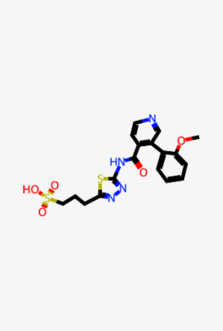 COc1ccccc1-c1cnccc1C(=O)Nc1nnc(CCCS(=O)(=O)O)s1